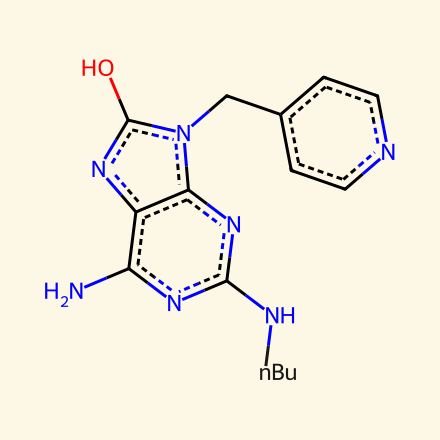 CCCCNc1nc(N)c2nc(O)n(Cc3ccncc3)c2n1